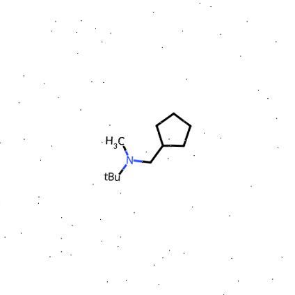 CN(CC1CCCC1)C(C)(C)C